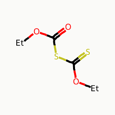 CCOC(=O)SC(=S)OCC